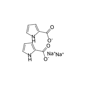 O=C([O-])c1ccc[nH]1.O=C([O-])c1ccc[nH]1.[Na+].[Na+]